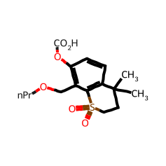 CCCOCc1c(OC(=O)O)ccc2c1S(=O)(=O)CCC2(C)C